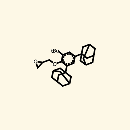 CC(C)(C)c1cc(C23CC4CC(CC(C4)C2)C3)cc(C23CC4CC(CC(C4)C2)C3)c1OCC1CO1